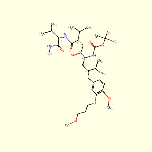 CNC(=O)[C@@H](NC(=O)[C@@H](C[C@H](O)[C@H](C[C@H](Cc1ccc(OC)c(OCCCOC)c1)C(C)C)NC(=O)OC(C)(C)C)C(C)C)C(C)C